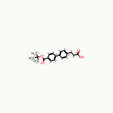 CC(C)(C)OC(=O)c1ccc(-c2ccc(CCC(=O)O)cc2)cc1